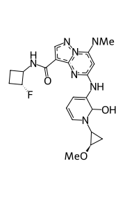 CNc1cc(NC2=CC=CN(C3C[C@H]3OC)C2O)nc2c(C(=O)NC3CC[C@H]3F)cnn12